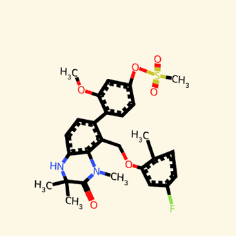 COc1cc(OS(C)(=O)=O)ccc1-c1ccc2c(c1COc1cc(F)ccc1C)N(C)C(=O)C(C)(C)N2